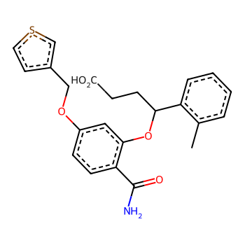 Cc1ccccc1C(CCC(=O)O)Oc1cc(OCc2ccsc2)ccc1C(N)=O